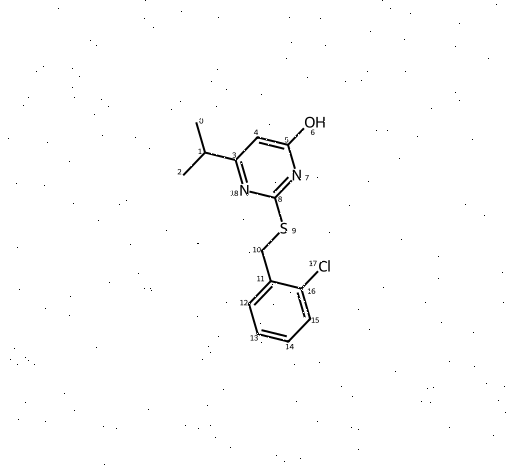 CC(C)c1cc(O)nc(SCc2ccccc2Cl)n1